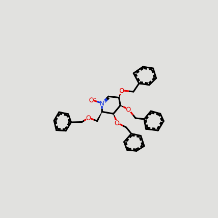 [O-][N+]1=C[C@H](OCc2ccccc2)[C@@H](OCc2ccccc2)[C@@H](OCc2ccccc2)[C@H]1COCc1ccccc1